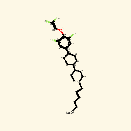 COCCCCC[SiH]1CCC(C2CCC(c3cc(F)c(OC=C(F)F)c(F)c3)CC2)CC1